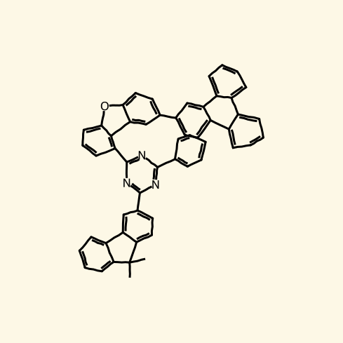 CC1(C)c2ccccc2-c2cc(-c3nc(-c4ccccc4)nc(-c4cccc5oc6ccc(-c7ccc8c9ccccc9c9ccccc9c8c7)cc6c45)n3)ccc21